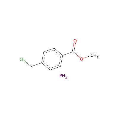 COC(=O)c1ccc(CCl)cc1.P